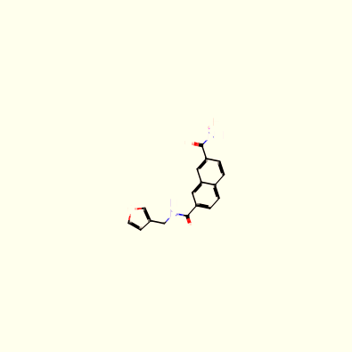 O=C(NO)c1ccc2ccc(C(=O)NCc3ccoc3)cc2c1